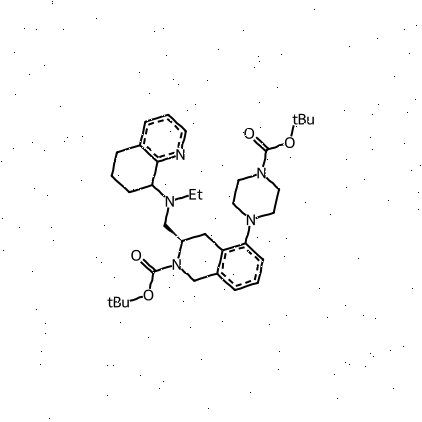 CCN(C[C@H]1Cc2c(cccc2N2CCN(C(=O)OC(C)(C)C)CC2)CN1C(=O)OC(C)(C)C)C1CCCc2cccnc21